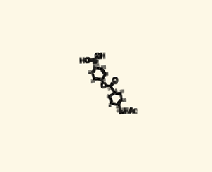 CC(=O)Nc1ccc(C(=O)Oc2ccc(B(O)O)cc2)cc1